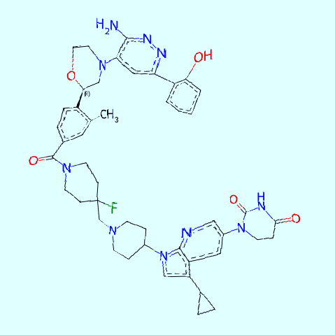 Cc1cc(C(=O)N2CCC(F)(CN3CCC(n4cc(C5CC5)c5cc(N6CCC(=O)NC6=O)cnc54)CC3)CC2)ccc1[C@@H]1CN(c2cc(-c3ccccc3O)nnc2N)CCO1